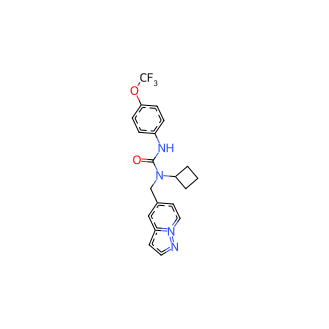 O=C(Nc1ccc(OC(F)(F)F)cc1)N(Cc1ccn2nccc2c1)C1CCC1